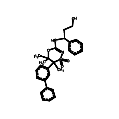 CC1(C)OC(N[C@@H](CCO)c2ccccc2)=NS(=O)(=O)C1(C)c1cccc(-c2ccccc2)c1